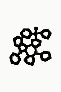 O=P(c1ccccc1)(c1ccccc1)c1ccc2c(c1)-c1c(n(-c3ccccc3)c3ccccc13)-c1ccccc1N2c1ccccc1